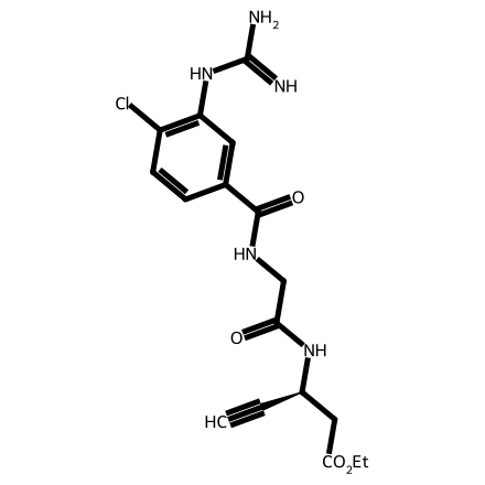 C#C[C@H](CC(=O)OCC)NC(=O)CNC(=O)c1ccc(Cl)c(NC(=N)N)c1